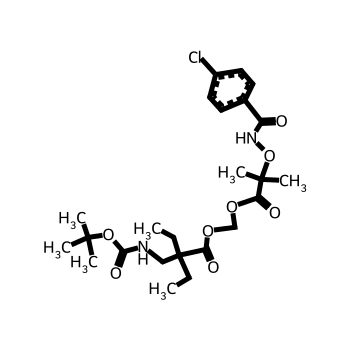 CCC(CC)(CNC(=O)OC(C)(C)C)C(=O)OCOC(=O)C(C)(C)ONC(=O)c1ccc(Cl)cc1